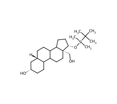 CC(C)(C)[Si](C)(C)O[C@H]1CCC2C3CC[C@H]4C[C@@H](O)CCC4C3CC[C@@]21CO